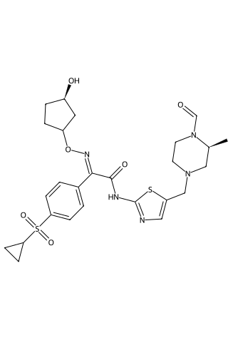 C[C@H]1CN(Cc2cnc(NC(=O)/C(=N/OC3CC[C@@H](O)C3)c3ccc(S(=O)(=O)C4CC4)cc3)s2)CCN1C=O